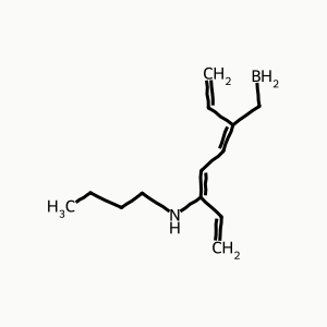 BC/C(C=C)=C/C=C(\C=C)NCCCC